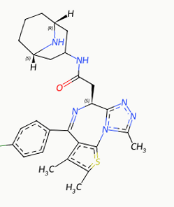 Cc1sc2c(c1C)C(c1ccc(Cl)cc1)=N[C@@H](CC(=O)NC1C[C@H]3CCC[C@@H](C1)N3)c1nnc(C)n1-2